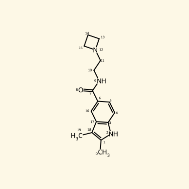 Cc1[nH]c2ccc(C(=O)NCCN3CCC3)cc2c1C